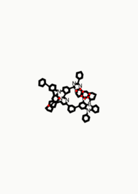 c1ccc(-c2ccc3c(c2)c2cc(-c4ccccc4)ccc2n3-c2ccc(-c3nc(-c4ccccc4)nc(-c4ccccc4)n3)cc2-c2nc(-c3ccccc3)cc(-c3cccc(-c4cc5c6c(c4)N(c4ccccc4)c4ccccc4B6c4ccccc4N5c4ccccc4)c3)n2)cc1